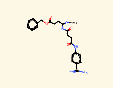 CON=C(CCC(=O)OCc1ccccc1)NC(=O)CCC(=O)Nc1ccc(C(=N)N)cc1